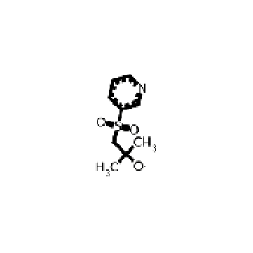 CC(C)([O])CS(=O)(=O)c1cccnc1